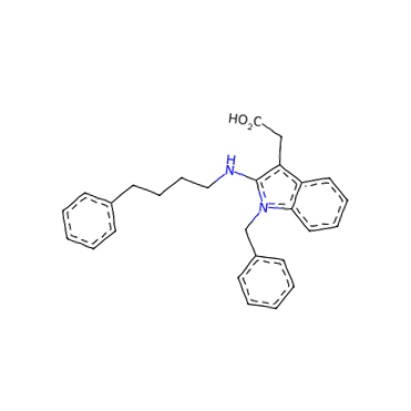 O=C(O)Cc1c(NCCCCc2ccccc2)n(Cc2ccccc2)c2ccccc12